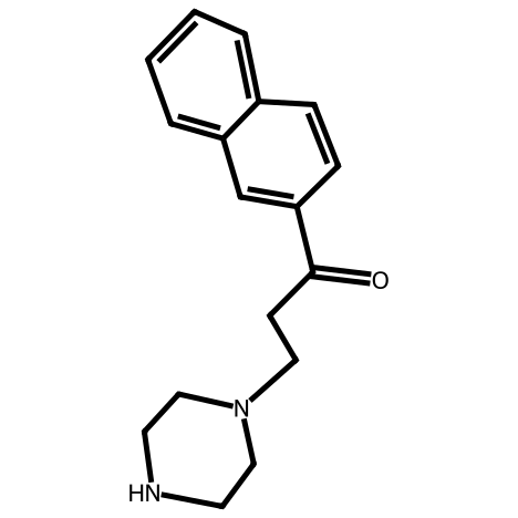 O=C(CCN1CCNCC1)c1ccc2ccccc2c1